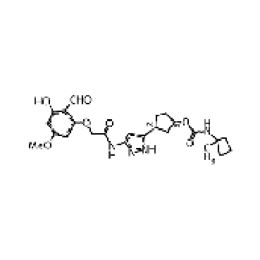 COc1cc(O)c(C=O)c(OCC(=O)Nc2cc([C@H]3CC[C@@H](OC(=O)NC4(C)CCC4)C3)[nH]n2)c1